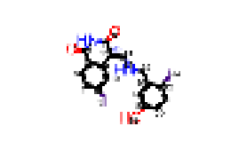 O=C1NC(=O)c2ccc(I)cc2/C1=C\NCc1cc(O)ccc1I